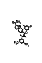 Cc1cc(F)ccc1[C@H]1CC2(CCC(C(N)=O)N2)CCN1C(=O)N(C)[C@H](C)c1cc(C(F)(F)F)cc(C(F)(F)F)c1